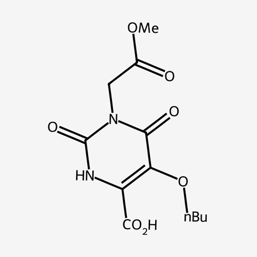 CCCCOc1c(C(=O)O)[nH]c(=O)n(CC(=O)OC)c1=O